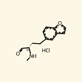 CN[C@H](C=O)CCc1ccc2occc2c1.Cl